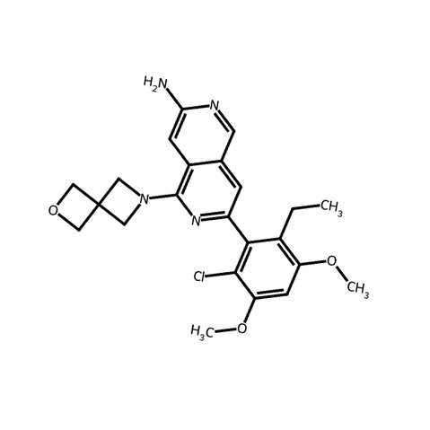 CCc1c(OC)cc(OC)c(Cl)c1-c1cc2cnc(N)cc2c(N2CC3(COC3)C2)n1